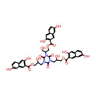 O=C(OCC(O)Cn1c(=O)n(CC(O)COC(=O)c2cc3cc(O)ccc3cc2O)c(=O)n(C(CO)COC(=O)c2cc3cc(O)ccc3cc2O)c1=O)c1cc2cc(O)ccc2cc1O